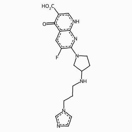 O=C(O)c1c[nH]c2nc(N3CCC(NCCCn4ccnc4)C3)c(F)cc2c1=O